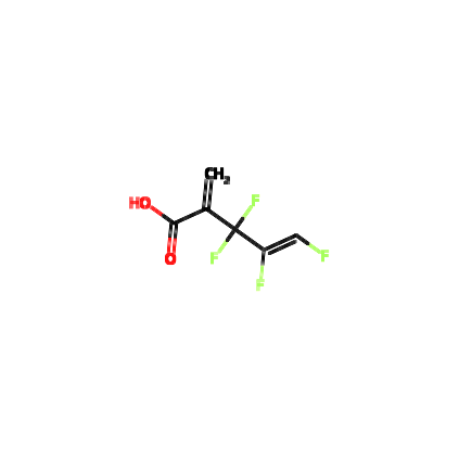 C=C(C(=O)O)C(F)(F)/C(F)=C/F